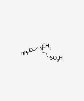 CCCOCCN(C)CCCS(=O)(=O)O